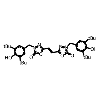 CC(C)(C)c1cc(Cn2nc(C=Cc3nn(Cc4cc(C(C)(C)C)c(O)c(C(C)(C)C)c4)c(=O)o3)oc2=O)cc(C(C)(C)C)c1O